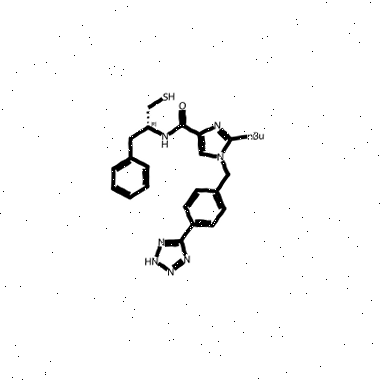 CCCCc1nc(C(=O)N[C@@H](CS)Cc2ccccc2)cn1Cc1ccc(-c2nn[nH]n2)cc1